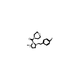 C[C@@H]1CC[C@H](CCc2ccc(F)cc2)N1C(=O)N1CCOCC1